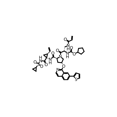 C=CC(=O)NC[C@H](NC(=O)OC1CCCC1)C(=O)N1C[C@H](Oc2nccc3ccc(-c4cccs4)cc23)C[C@H]1C(=O)N[C@]1(C(=O)NS(=O)(=O)C2CC2)C[C@H]1C=C